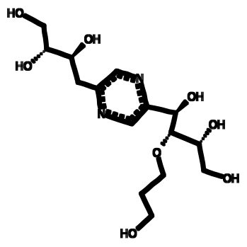 OCCCO[C@@H]([C@H](O)CO)[C@H](O)c1cnc(C[C@H](O)[C@H](O)CO)cn1